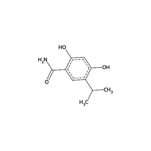 CC(C)c1cc(C(N)=O)c(O)cc1O